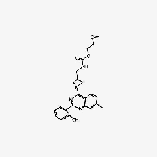 COCCOC(=O)NCC1CN(c2nc(-c3ccccc3O)nc3cc(C)ccc23)C1